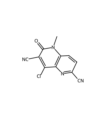 Cn1c(=O)c(C#N)c(Cl)c2nc(C#N)ccc21